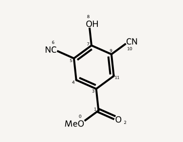 COC(=O)c1cc(C#N)c(O)c(C#N)c1